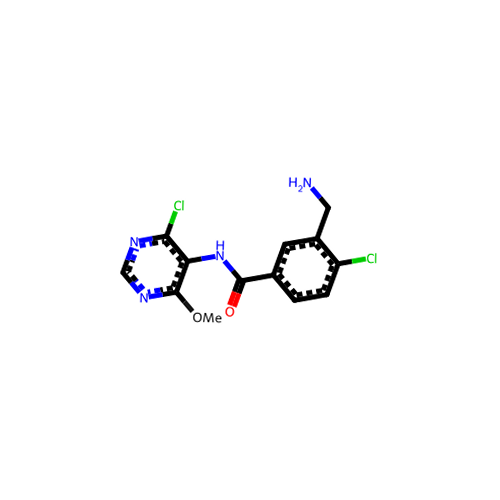 COc1ncnc(Cl)c1NC(=O)c1ccc(Cl)c(CN)c1